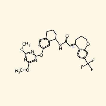 COc1nc(OC)nc(Oc2ccc3c(c2)C(NC(=O)/C=C2\CCCOc4cc(C(F)(F)F)ccc42)CCC3)n1